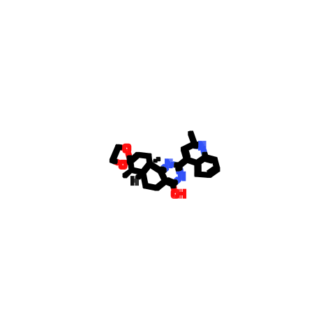 Cc1cc(-c2nc(O)c3c(n2)[C@]2(C)CCC4(OCCO4)[C@H](C)[C@H]2CC3)c2ccccc2n1